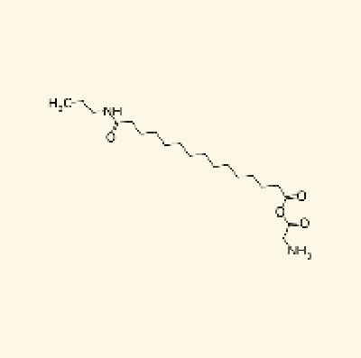 CCCNC(=O)CCCCCCCCCCCCCC(=O)OC(=O)CN